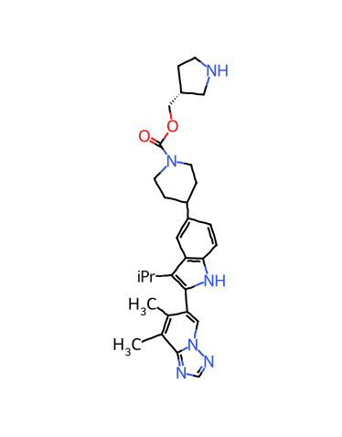 Cc1c(-c2[nH]c3ccc(C4CCN(C(=O)OC[C@@H]5CCNC5)CC4)cc3c2C(C)C)cn2ncnc2c1C